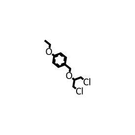 CCOc1ccc(COC(CCl)CCl)cc1